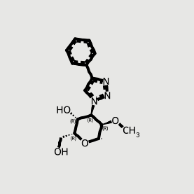 CO[C@H]1[CH]O[C@H](CO)[C@H](O)[C@H]1n1cc(-c2ccccc2)nn1